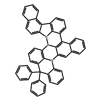 c1ccc(C2(c3ccccc3)c3ccccc3N3c4cc5ccccc5c5c4B(c4cccc2c43)n2c3ccc4ccccc4c3c3cccc-5c32)cc1